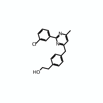 Cc1cc(Cc2ccc(CCO)cc2)nc(-c2cccc(Cl)c2)n1